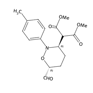 COC(=O)C(C(=O)OC)[C@H]1CC[C@H](C=O)ON1c1ccc(C)cc1